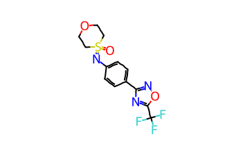 O=S1(=Nc2ccc(-c3noc(C(F)(F)F)n3)cc2)CCOCC1